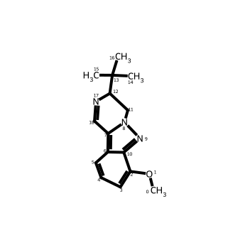 COc1cccc2c3n(nc12)CC(C(C)(C)C)N=C3